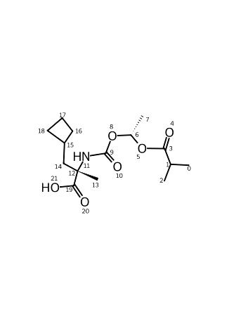 CC(C)C(=O)O[C@@H](C)OC(=O)N[C@@](C)(CC1CCC1)C(=O)O